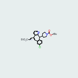 CCOC(=O)/C=C/C1=Cc2cc(Cl)ccc2C(C2CCN(C(=O)OC(C)(C)C)CC2)c2ncccc21